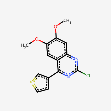 COc1cc2nc(Cl)nc(-c3ccsc3)c2cc1OC